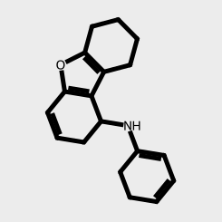 C1=CCCC(NC2CC=Cc3oc4c(c32)CCCC4)=C1